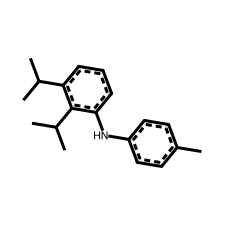 Cc1ccc(Nc2cccc(C(C)C)c2C(C)C)cc1